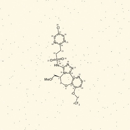 COC[C@@H]1COc2c(OCC(F)(F)F)ccnc2-c2nnc(NS(=O)(=O)CCc3ncc(Cl)cn3)n21